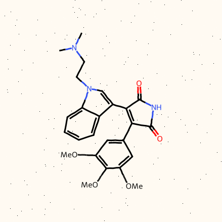 COc1cc(C2=C(c3cn(CCN(C)C)c4ccccc34)C(=O)NC2=O)cc(OC)c1OC